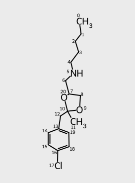 CCCCCNCC1COC(C)(Cc2ccc(Cl)cc2)O1